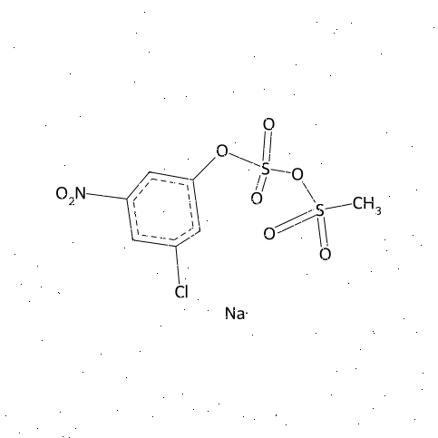 CS(=O)(=O)OS(=O)(=O)Oc1cc(Cl)cc([N+](=O)[O-])c1.[Na]